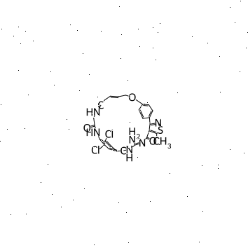 Cc1snc2c1C(=O)/N=C(\N)NCc1cc(Cl)c(c(Cl)c1)NC(=O)CNCC/C=C/COc1ccc-2cc1